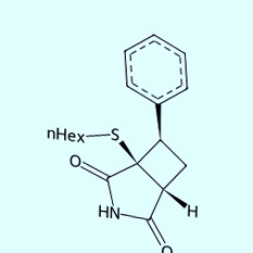 CCCCCCS[C@]12C(=O)NC(=O)[C@H]1C[C@@H]2c1ccccc1